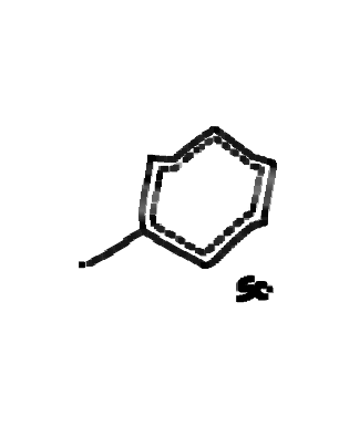 [CH2]c1ccccc1.[Sc]